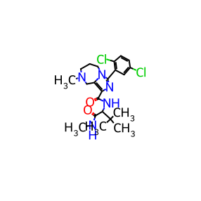 CNC(=O)C(NC(=O)c1nc(-c2cc(Cl)ccc2Cl)n2c1CN(C)CCC2)C(C)(C)C